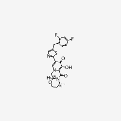 C[C@@H]1CCO[C@@H]2Cn3cc(-c4ncc(Cc5ccc(F)cc5F)s4)c(=O)c(O)c3C(=O)N12